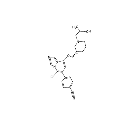 CC(O)CN1CCC[C@@H](COc2cc(-c3ccc(C#N)cc3)c(Cl)n3cncc23)C1